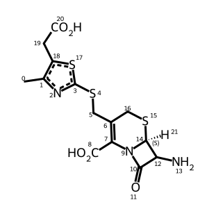 Cc1nc(SCC2=C(C(=O)O)N3C(=O)C(N)[C@@H]3SC2)sc1CC(=O)O